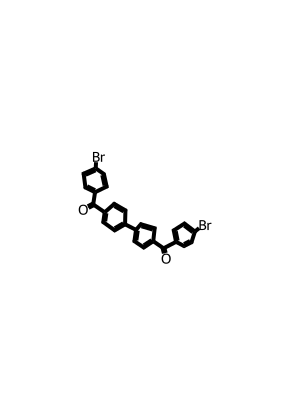 O=C(c1ccc(Br)cc1)c1ccc(-c2ccc(C(=O)c3ccc(Br)cc3)cc2)cc1